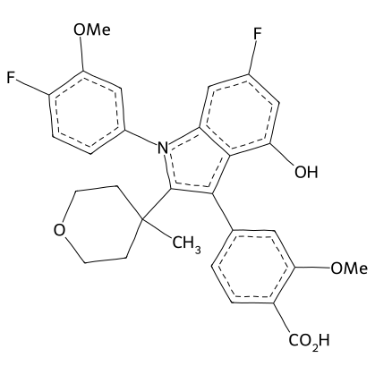 COc1cc(-n2c(C3(C)CCOCC3)c(-c3ccc(C(=O)O)c(OC)c3)c3c(O)cc(F)cc32)ccc1F